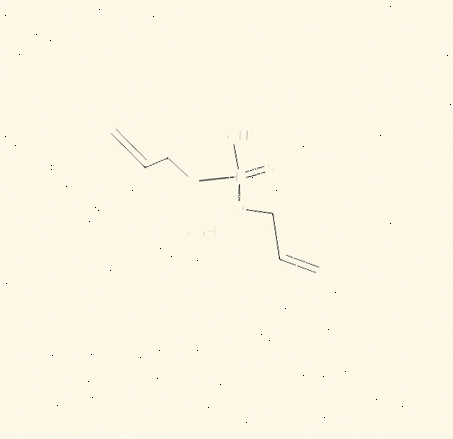 C=CCOP(O)(=S)SCC=C.[CaH2]